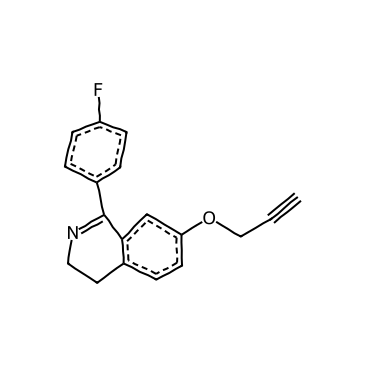 C#CCOc1ccc2c(c1)C(c1ccc(F)cc1)=NCC2